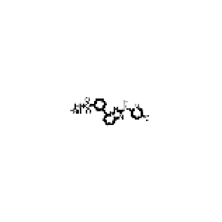 CC(C)(C)NS(=O)(=O)c1cccc(-c2cccc3nc(Nc4ccc(Cl)cn4)nn23)c1